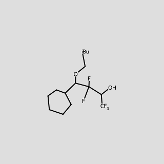 CCC(C)COC(C1CCCCC1)C(F)(F)C(O)C(F)(F)F